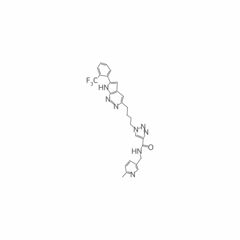 Cc1ccc(CNC(=O)c2cn(CCCCc3cc4cc(-c5ccccc5C(F)(F)F)[nH]c4nn3)nn2)cn1